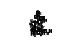 CC(=O)C=O.NC(Cc1ccccc1)C(=O)O.NC(Cc1ccccc1)C(=O)O